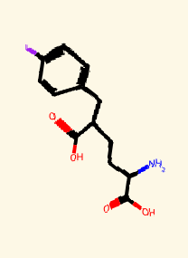 NC(CCC(Cc1ccc(I)cc1)C(=O)O)C(=O)O